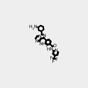 Nc1nccn2c(C3CCC[C@@H](N)C3)nc(-c3ccc(C(=O)Nc4cc(C(F)(F)F)ccn4)cc3)c12